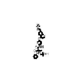 Cc1c(C(=O)Nc2ccc(Oc3ccnc4cc(/C=C/[SH](C)(C)=O)ccc34)cn2)c(=O)n(-c2ccccc2)n1CC(C)(C)O